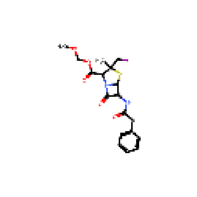 COCOC(=O)C1N2C(=O)C(NC(=O)Cc3ccccc3)C2SC1(C)CI